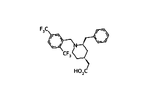 O=C(O)C[C@H]1CCN(Cc2cc(C(F)(F)F)ccc2C(F)(F)F)[C@@H](Cc2ccccc2)C1